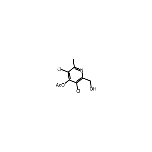 CC(=O)Oc1c(Cl)c(C)nc(CO)c1Cl